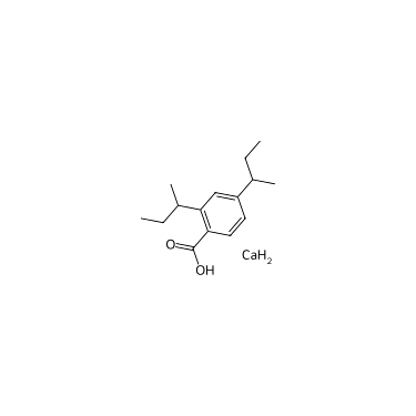 CCC(C)c1ccc(C(=O)O)c(C(C)CC)c1.[CaH2]